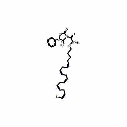 CC/C=C\C/C=C\C/C=C\C/C=C\C/C=C\CCCCO[C@H](CC)C(=O)N1C(=O)O[C@H](c2ccccc2)[C@@H]1C